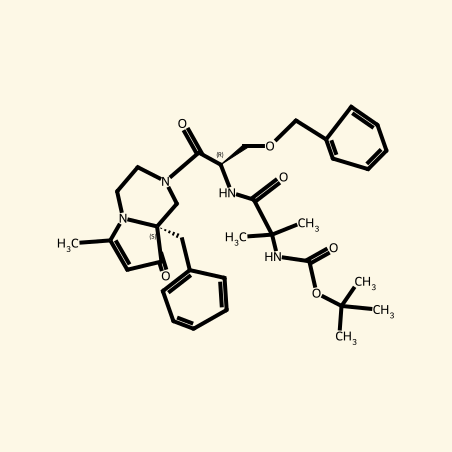 CC1=CC(=O)[C@]2(Cc3ccccc3)CN(C(=O)[C@@H](COCc3ccccc3)NC(=O)C(C)(C)NC(=O)OC(C)(C)C)CCN12